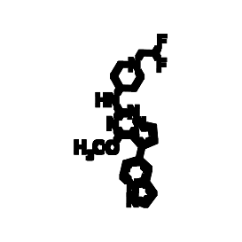 COc1nc(NC2CCN(CC(F)F)CC2)nn2ccc(-c3ccn4nccc4c3)c12